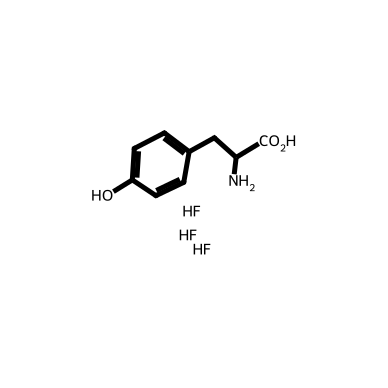 F.F.F.NC(Cc1ccc(O)cc1)C(=O)O